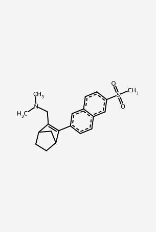 CN(C)CC1=C(c2ccc3cc(S(C)(=O)=O)ccc3c2)C2CCC1C2